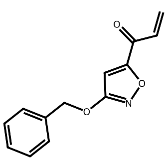 C=CC(=O)c1cc(OCc2ccccc2)no1